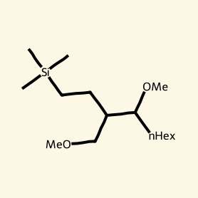 CCCCCCC(OC)C(CC[Si](C)(C)C)COC